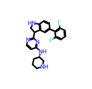 Fc1cccc(F)c1-c1ccc2c(c1)C(c1nccc(N[C@@H]3CCCNC3)n1)CN2